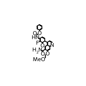 COCCOc1cc2nccc(C3C=CC(NC(=O)Oc4ccccc4)=C(F)C3=O)c2cc1C(N)=O